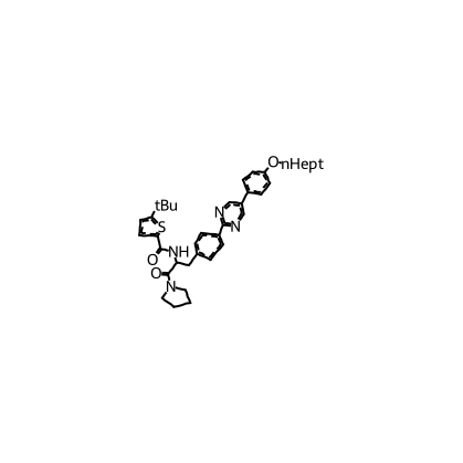 CCCCCCCOc1ccc(-c2cnc(-c3ccc(CC(NC(=O)c4ccc(C(C)(C)C)s4)C(=O)N4CCCC4)cc3)nc2)cc1